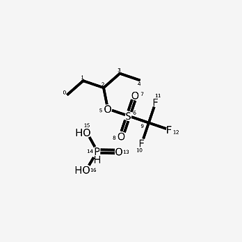 CCC(CC)OS(=O)(=O)C(F)(F)F.O=[PH](O)O